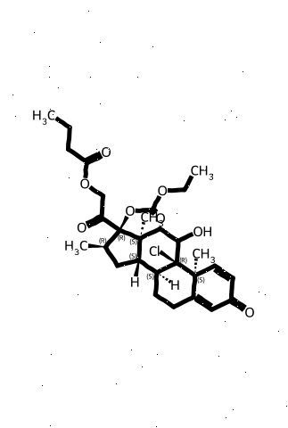 CCCC(=O)OCC(=O)[C@@]1(OC(=O)OCC)[C@H](C)C[C@H]2[C@@H]3CCC4=CC(=O)C=C[C@]4(C)[C@@]3(Cl)C(O)C[C@@]21C